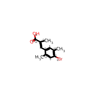 C/C(=C\c1cc(C)c(Br)cc1C)C(=O)O